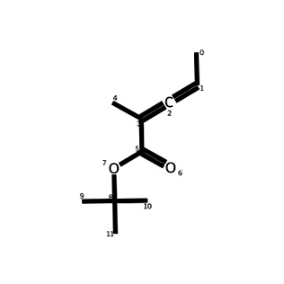 CC=C=C(C)C(=O)OC(C)(C)C